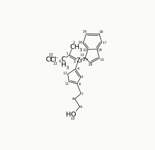 C[C](C)=[Zr+2]([C]1=CC(CCCO)=CC1)[CH]1C=Cc2ccccc21.[Cl-].[Cl-]